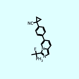 CC(F)(P)c1ncc2ccc(-c3ccc(C4(C#N)CC4)cc3)cn12